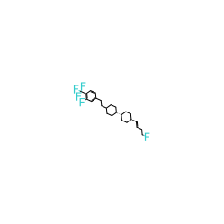 FCC/C=C/[C@H]1CC[C@H](C2CCC(CCc3ccc(C(F)(F)F)c(F)c3)CC2)CC1